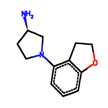 N[C@H]1CCN(c2cccc3c2CCO3)C1